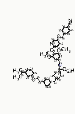 COc1cc(/C=C/C(=O)N2CCN(Cc3ccc(CCOc4cccc(C(C)C)c4)cc3)CC2)cc(OC)c1Oc1ccc(OCc2ccc(C#N)cc2)cn1.Cl